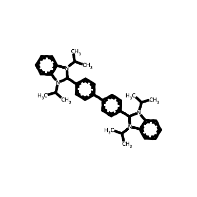 CC(C)N1c2ccccc2N(C(C)C)C1c1ccc(-c2ccc(C3N(C(C)C)c4ccccc4N3C(C)C)cc2)cc1